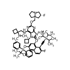 CC(C)[Si](C#Cc1c(F)ccc2cc(O[Si](c3ccccc3)(c3ccccc3)C(C)(C)C)cc(Oc3nc4nc(OC[C@@]56CCCN5C[C@H](F)C6)nc(NCC5(N(C)C)CCC5)c4n3C3CCC3)c12)(C(C)C)C(C)C